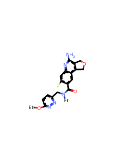 CCOc1ccc(CN(CC)C(=O)c2cc3c4c(c(N)nc3cc2F)COC4)nn1